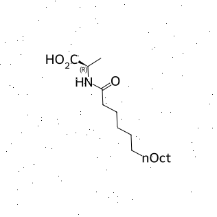 CCCCCCCCCCCCCC(=O)N[C@H](C)C(=O)O